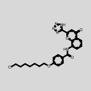 O=C(Nc1cccc2c(=O)cc(-c3nnn[nH]3)oc12)c1ccc(OCCCCCCCCl)cc1